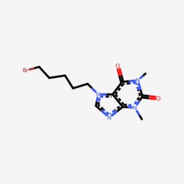 Cn1c(=O)c2c(ncn2CCCCCBr)n(C)c1=O